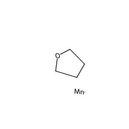 C1CCOC1.[Mn]